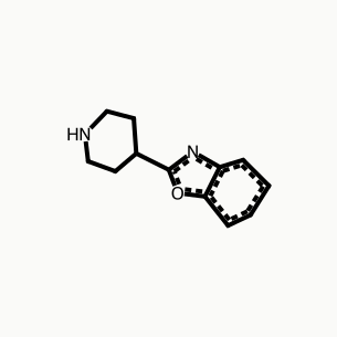 c1ccc2oc(C3CCNCC3)nc2c1